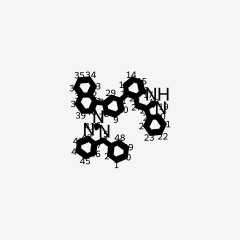 c1ccc(-c2nc(-n3c4ccc(-c5cccc6[nH]c7nc8ccccc8c-7cc56)cc4c4c5ccccc5ccc43)nc3ccccc23)cc1